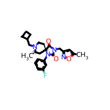 Cc1cc(CN2C(=O)N(c3cccc(F)c3)[C@@]3(CCN(CC4CCC4)[C@@H](C)C3)C2=O)no1